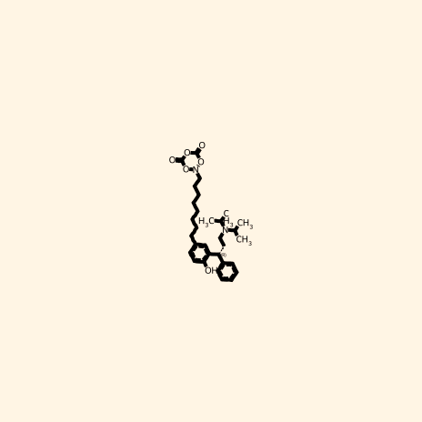 CC(C)N(CC[C@H](c1ccccc1)c1cc(CCCCCCCCN2OC(=O)OC(=O)O2)ccc1O)C(C)C